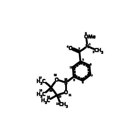 CON(C)C(=O)c1cccc(B2OC(C)(C)C(C)(C)O2)c1